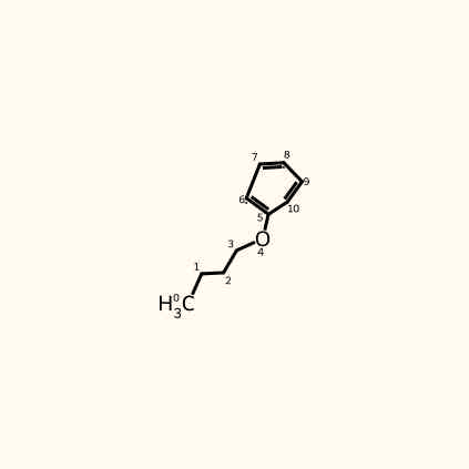 CCCCOc1[c]c[c]cc1